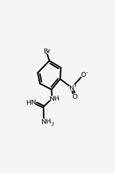 N=C(N)Nc1ccc(Br)cc1[N+](=O)[O-]